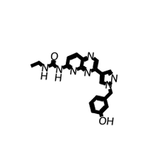 CCNC(=O)Nc1ccc2ncc(-c3cnn(Cc4cccc(O)c4)c3)nc2n1